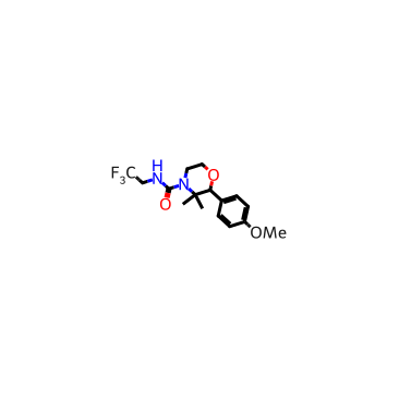 COc1ccc(C2OCCN(C(=O)NCC(F)(F)F)C2(C)C)cc1